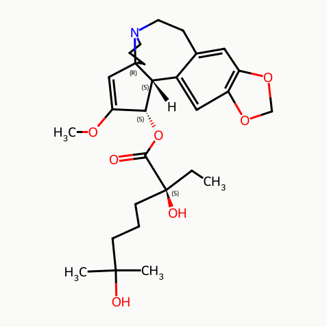 CC[C@](O)(CCCC(C)(C)O)C(=O)O[C@@H]1C(OC)=C[C@]23CCCN2CCc2cc4c(cc2[C@H]13)OCO4